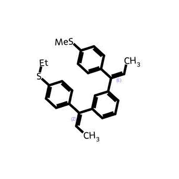 C/C=C(/c1ccc(SCC)cc1)c1cccc(/C(=C/C)c2ccc(SC)cc2)c1